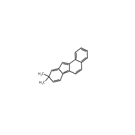 CC1(C)C=CC2=c3ccc4ccccc4c3=[C]C2=C1